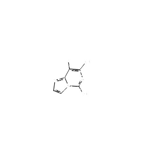 Cc1nc(O)n2ccnc2c1Br